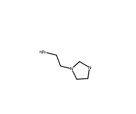 CCCCCN1CC[N]C1